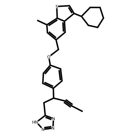 CC#CC(Cc1nnn[nH]1)c1ccc(OCc2cc(C)c3scc(C4CCCCC4)c3c2)cc1